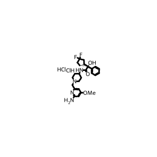 COc1cc(N)nc(CN2CCC(NC(=O)[C@](O)(c3ccccc3)[C@@H]3CCC(F)(F)C3)CC2)c1.Cl.Cl